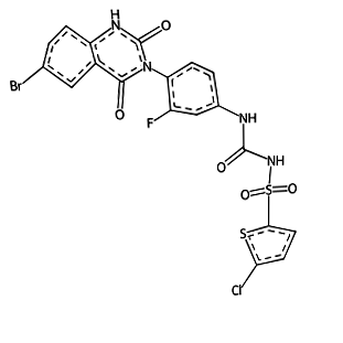 O=C(Nc1ccc(-n2c(=O)[nH]c3ccc(Br)cc3c2=O)c(F)c1)NS(=O)(=O)c1ccc(Cl)s1